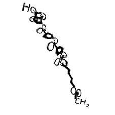 C=CC(=O)OCCCCCCOC(=O)Oc1ccc(C(=O)Oc2ccc(C(=O)O[C@H]3COC4C3OC[C@H]4O)cc2)cc1